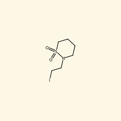 O=S1(=O)CCCCN1CCI